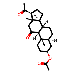 CC(=O)O[C@H]1CC[C@@]2(C)[C@@H](CC[C@H]3[C@@H]4CC[C@H](C(C)=O)[C@@]4(C)CC(=O)[C@@H]32)C1